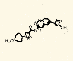 CN1CCC(n2cc(C(=O)Nc3cc4cc(-c5cnn(C)c5)ccc4nn3)nn2)CC1